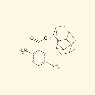 C1C2CC3C4CC5CC(C14)C(C2)C3C5.Nc1ccc(N)c(C(=O)O)c1